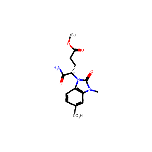 Cn1c(=O)n([C@@H](CCC(=O)OC(C)(C)C)C(N)=O)c2ccc(C(=O)O)cc21